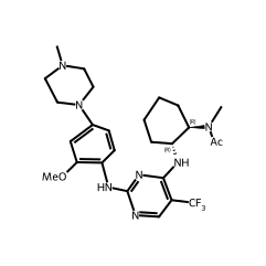 COc1cc(N2CCN(C)CC2)ccc1Nc1ncc(C(F)(F)F)c(N[C@@H]2CCCC[C@H]2N(C)C(C)=O)n1